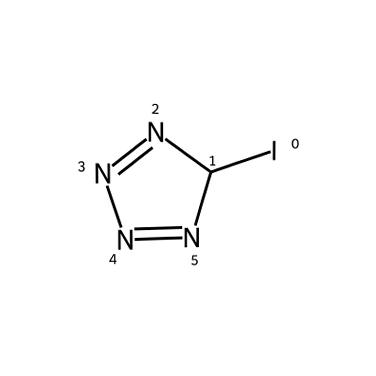 IC1N=NN=N1